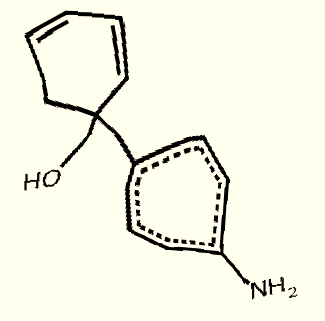 Nc1ccc(C2(O)C=CC=CC2)cc1